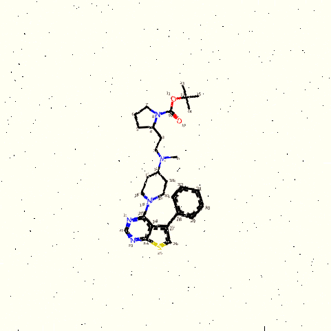 CN(CCC1CCCN1C(=O)OC(C)(C)C)C1CCN(c2ncnc3scc(-c4ccccc4)c23)CC1